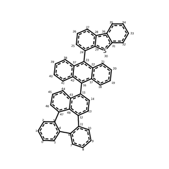 c1ccc2c(c1)-c1ccccc1-c1ccc(-c3c4ccccc4c(-c4cccc5c4sc4ccccc45)c4ccccc34)c3cccc-2c13